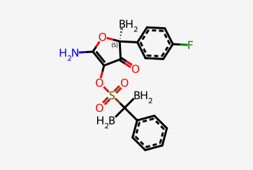 BC(B)(c1ccccc1)S(=O)(=O)OC1=C(N)O[C@@](B)(c2ccc(F)cc2)C1=O